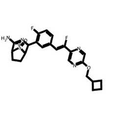 NC1=NC(c2cc(/C=C(\F)c3cnc(OCC4CCC4)cn3)ccc2F)C2CCC1S2(=O)=O